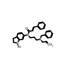 C=CCN(CCCN(C(=O)C=Cc1ccccc1)c1ccc2c(c1)N(C(C)=O)CC2)Cc1ccccc1